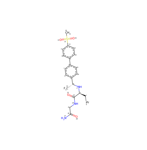 CC(C)C[C@H](N[C@@H](c1ccc(-c2ccc(S(C)(=O)=O)cc2)cc1)C(F)(F)F)C(=O)NCC(N)=O